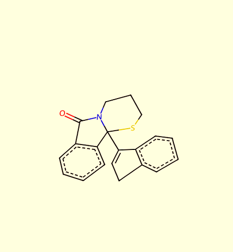 O=C1c2ccccc2C2(C3=CCc4ccccc43)SCCCN12